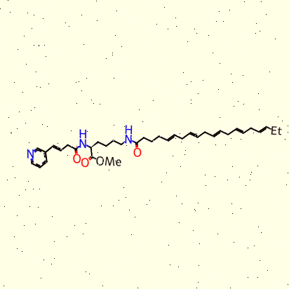 CCC=CCC=CCC=CCC=CCC=CCCCC(=O)NCCCC[C@H](NC(=O)CC=Cc1cccnc1)C(=O)OC